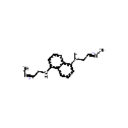 O/N=C\CNc1cccc2c(NC/C=N/O)cccc12